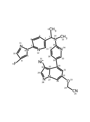 CC(c1ccc(-n2cc(F)cn2)nc1)N(C)c1ccc(-c2cc(OCC#N)cn3ncc(C#N)c23)cn1